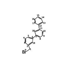 BrCc1cccc(-c2cccc(-c3ccccc3)c2)c1